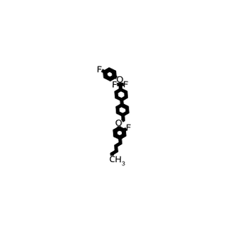 CCCCCc1ccc(OCC2CC=C(C3CCC(C(F)(F)Oc4ccc(F)cc4)CC3)CC2)c(F)c1